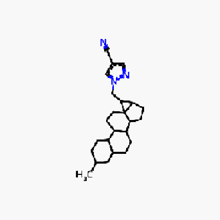 CC1CCC2C(CCC3C2CCC24C3CCC2C4Cn2cc(C#N)cn2)C1